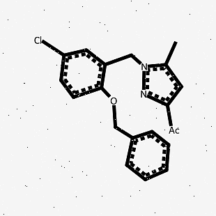 CC(=O)c1cc(C)n(Cc2cc(Cl)ccc2OCc2ccccc2)n1